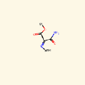 CCOC(=O)/C(=N/NC)C(N)=O